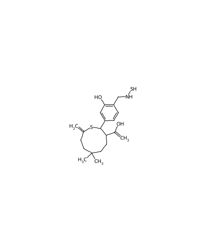 C=C1CCC(C)(C)CCC(C(=C)O)C(c2ccc(CNS)c(O)c2)S1